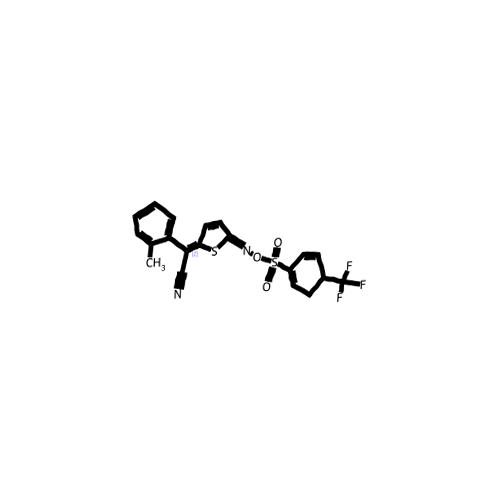 Cc1ccccc1/C(C#N)=C1\C=CC(=NOS(=O)(=O)C2=CCC(C(F)(F)F)C=C2)S1